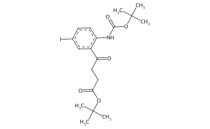 CC(C)(C)OC(=O)CCC(=O)c1cc(I)ccc1NC(=O)OC(C)(C)C